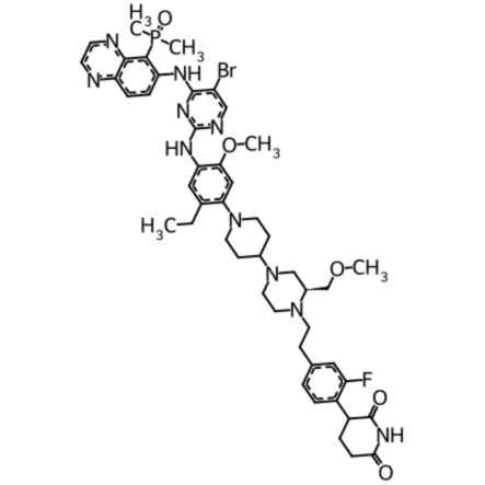 CCc1cc(Nc2ncc(Br)c(Nc3ccc4nccnc4c3P(C)(C)=O)n2)c(OC)cc1N1CCC(N2CCN(CCc3ccc(C4CCC(=O)NC4=O)c(F)c3)[C@H](COC)C2)CC1